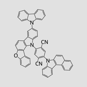 N#Cc1cc(-n2c3ccc(-n4c5ccccc5c5ccccc54)cc3c3ccc4oc5ccccc5c4c32)c(C#N)cc1-n1c2ccccc2c2c3ccccc3ccc21